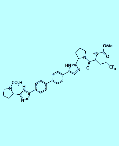 COC(=O)NC(CCC(F)(F)F)C(=O)N1CCCC1c1ncc(-c2ccc(-c3ccc(-c4cnc(C5CCCN5C(=O)O)[nH]4)cc3)cc2)[nH]1